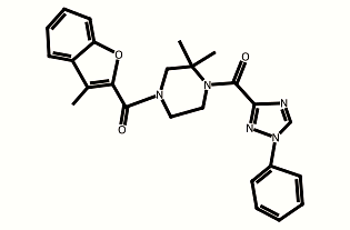 Cc1c(C(=O)N2CCN(C(=O)c3ncn(-c4ccccc4)n3)C(C)(C)C2)oc2ccccc12